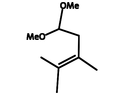 COC(CC(C)=C(C)C)OC